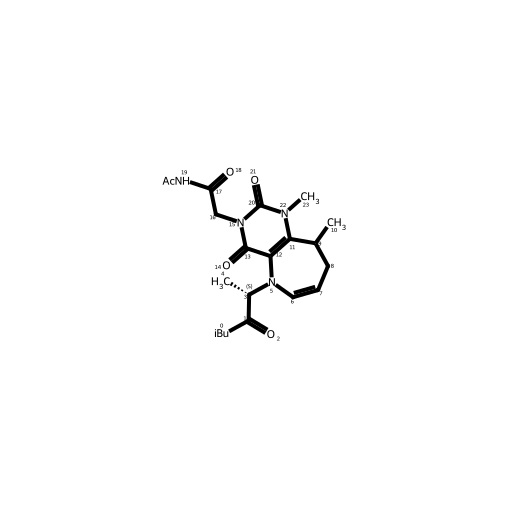 CCC(C)C(=O)[C@H](C)N1C=CCC(C)c2c1c(=O)n(CC(=O)NC(C)=O)c(=O)n2C